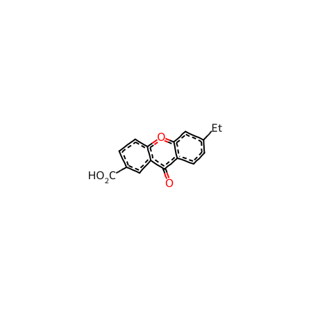 CCc1ccc2c(=O)c3cc(C(=O)O)ccc3oc2c1